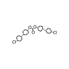 O=C(Oc1ccc(-c2ccc(Cl)cc2)cc1)Oc1ccc(-c2ccc(Cl)cc2)cc1